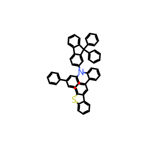 c1ccc(-c2cccc(N(c3ccc4c(c3)C(c3ccccc3)(c3ccccc3)c3ccccc3-4)c3ccccc3-c3ccc4sc5ccccc5c4c3)c2)cc1